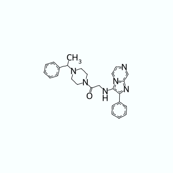 CC(c1ccccc1)N1CCN(C(=O)CNc2c(-c3ccccc3)nc3cnccn23)CC1